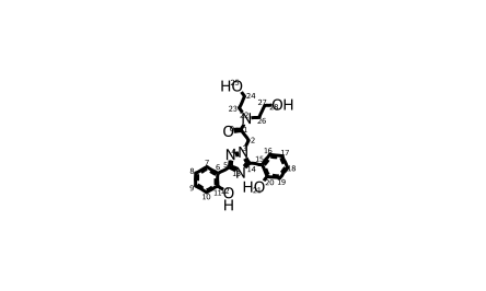 O=C(Cn1nc(-c2ccccc2O)nc1-c1ccccc1O)N(CCO)CCO